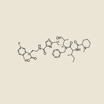 CCC(C)C(NC(=O)C1CCCCN1C)C(=O)N(Cc1ccccc1)[C@H](C[C@@H](O)c1nc(C(=O)NCC[C@@H](C(=O)O)c2cc(F)ccc2C)cs1)C(C)C